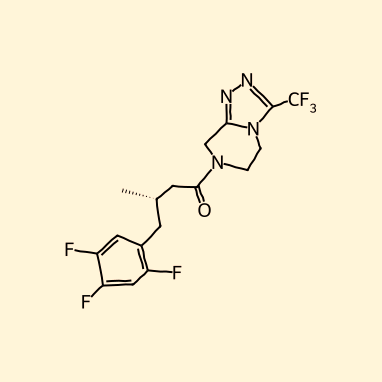 C[C@H](CC(=O)N1CCn2c(nnc2C(F)(F)F)C1)Cc1cc(F)c(F)cc1F